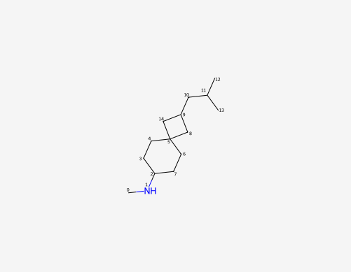 CNC1CCC2(CC1)CC(CC(C)C)C2